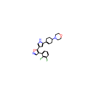 Fc1cccc(-c2cnoc2-c2c[nH]c(C3=CCC(N4CCOCC4)CC3)c2)c1F